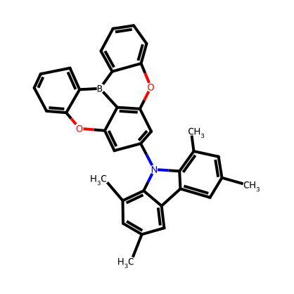 Cc1cc(C)c2c(c1)c1cc(C)cc(C)c1n2-c1cc2c3c(c1)Oc1ccccc1B3c1ccccc1O2